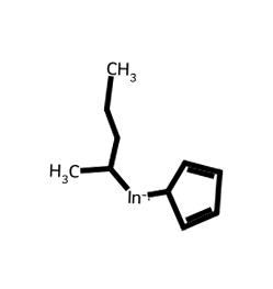 CCC[CH](C)[In-][CH]1C=CC=C1